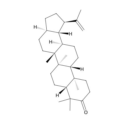 C=C(C)[C@@H]1CC[C@@H]2CC[C@]3(C)[C@H](CC[C@@H]4[C@@]5(C)CCC(=O)C(C)(C)[C@@H]5CC[C@]43C)[C@H]21